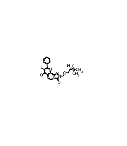 C[Si](C)(C)CCOCn1nc2c3oc(-c4ccccc4)c(I)c(=O)c3ccn2c1=O